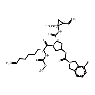 C=CCCCCC[C@H](NC(=O)OC(C)(C)C)C(=O)N1CC(OC(=O)N2Cc3cccc(F)c3C2)C[C@H]1C(=O)N[C@]1(C(=O)OCC)C[C@H]1C=C